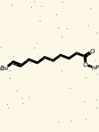 CCCCC=CCCCCCCCC(=O)OCCC